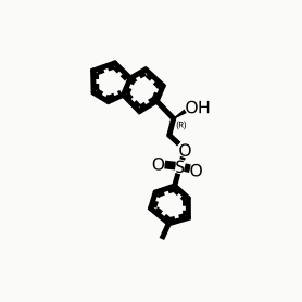 Cc1ccc(S(=O)(=O)OC[C@H](O)c2ccc3ccccc3c2)cc1